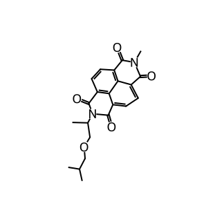 CC(C)COCC(C)N1C(=O)c2ccc3c4c(ccc(c24)C1=O)C(=O)N(C)C3=O